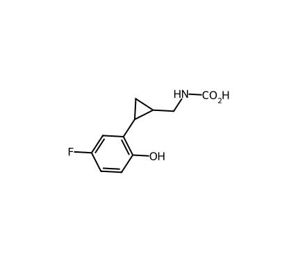 O=C(O)NCC1CC1c1cc(F)ccc1O